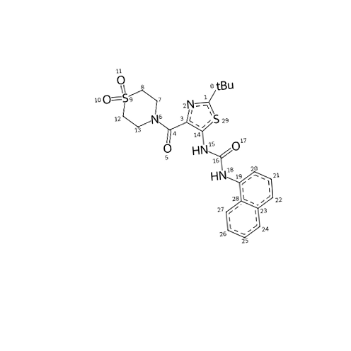 CC(C)(C)c1nc(C(=O)N2CCS(=O)(=O)CC2)c(NC(=O)Nc2cccc3ccccc23)s1